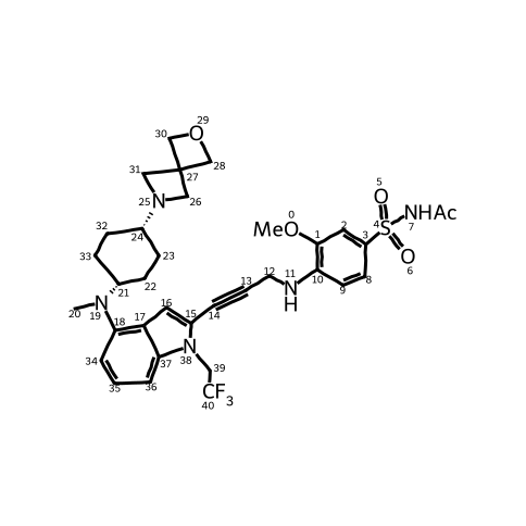 COc1cc(S(=O)(=O)NC(C)=O)ccc1NCC#Cc1cc2c(N(C)[C@H]3CC[C@@H](N4CC5(COC5)C4)CC3)cccc2n1CC(F)(F)F